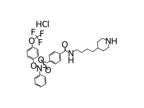 Cl.O=C(NCCCCC1CCNCC1)c1ccc(S(=O)(=O)N(Oc2ccc(OC(F)(F)F)cc2)c2ccccc2)cc1